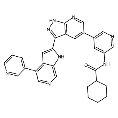 O=C(Nc1cncc(-c2cnc3[nH]nc(-c4cc5c(-c6cccnc6)cncc5[nH]4)c3c2)c1)C1CCCCC1